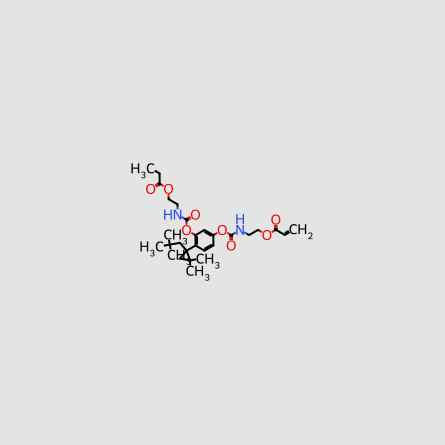 C=CC(=O)OCCNC(=O)Oc1ccc(C2(CC(C)(C)C)CC2(C)C)c(OC(=O)NCCOC(=O)CC)c1